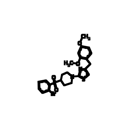 COc1ccc(Cc2csc(N3CCC(S(=O)(=O)c4ccccc4Br)CC3)n2)c(OC)c1